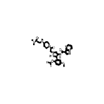 CSc1ccc(OC(F)F)c(C2NN(CC(=O)N3CCC(N(C)CC(=O)N(C)C)CC3)C=C2NC(=O)c2cnn3cccnc23)c1